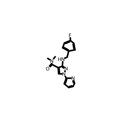 CN(C)C(=O)c1cn(-c2ccccn2)nc1NCc1ccc(F)cc1